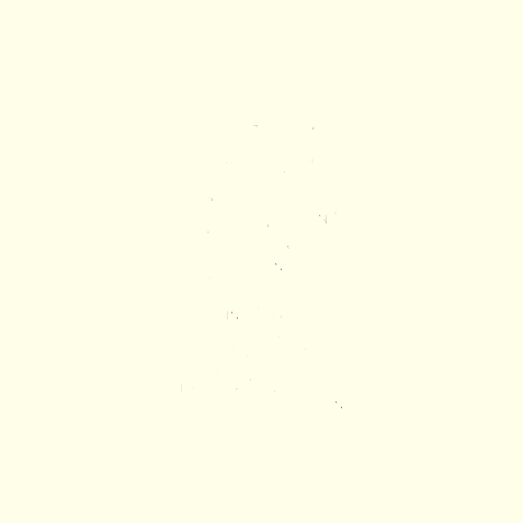 N#Cc1ccc([C@H](CC(=O)O)NC(=O)c2nc(C#N)c3cc(Oc4ccccc4)ccc3c2O)cc1